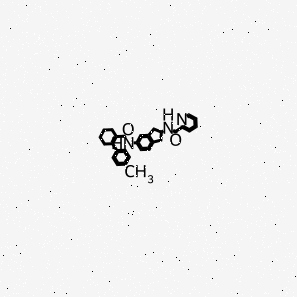 Cc1ccc(C2=C(C(=O)Nc3ccc4c(c3)CC(NC(=O)c3ccccn3)C4)CCCC2)cc1